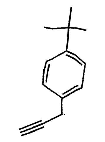 C#C[CH]c1ccc(C(C)(C)C)cc1